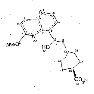 COc1ccc2nccc(C(O)C[C@H]3CC[C@H](C(=O)O)CC3)c2n1